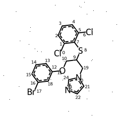 Clc1cccc(Cl)c1SC(COc1cccc(Br)c1)Cn1ccnc1